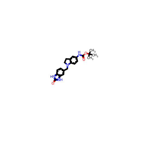 CC(C)(C)OC(=O)Nc1ccc2c(c1)CCN2Cc1ccc2[nH]c(=O)[nH]c2c1